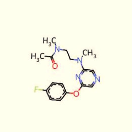 CC(=O)N(C)CCN(C)c1cncc(Oc2ccc(F)cc2)n1